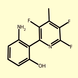 Cc1c(F)c(F)nc(-c2c(N)cccc2O)c1F